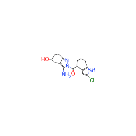 Nc1c2c(nn1C(=O)C1CCCc3[nH]c(Cl)cc31)CCC(O)C2